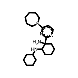 NC1(c2nccc(N3CCCCCC3)n2)CCCCC1NC1CCCCC1